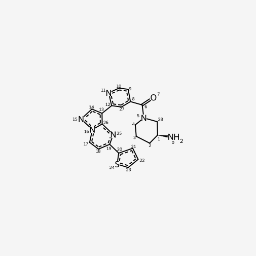 N[C@H]1CCCN(C(=O)c2ccnc(-c3cnn4ccc(-c5cccs5)nc34)c2)C1